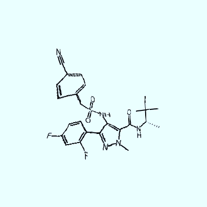 C[C@H](NC(=O)c1c(NS(=O)(=O)Cc2ccc(C#N)cc2)c(-c2ccc(F)cc2F)nn1C)C(C)(C)C